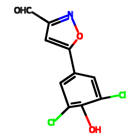 O=Cc1cc(-c2cc(Cl)c(O)c(Cl)c2)on1